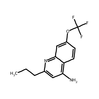 CCCc1cc(N)c2ccc(OC(F)(F)F)cc2n1